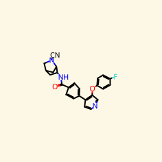 N#CN1CC2CC(NC(=O)c3ccc(-c4ccncc4Oc4ccc(F)cc4)cc3)C1C2